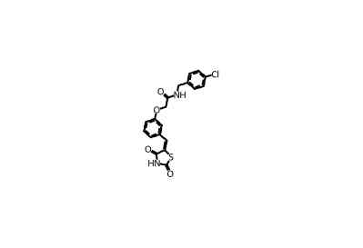 O=C(COc1cccc(C=C2SC(=O)NC2=O)c1)NCc1ccc(Cl)cc1